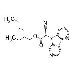 CCCCC(CC)COC(=O)C(C#N)C1c2cnccc2-c2ncccc21